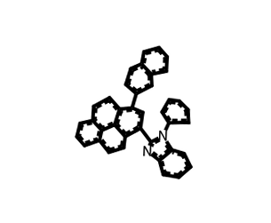 c1ccc(-n2c(-c3cc(-c4ccc5ccccc5c4)c4ccc5cccc6ccc3c4c56)nc3ccccc32)cc1